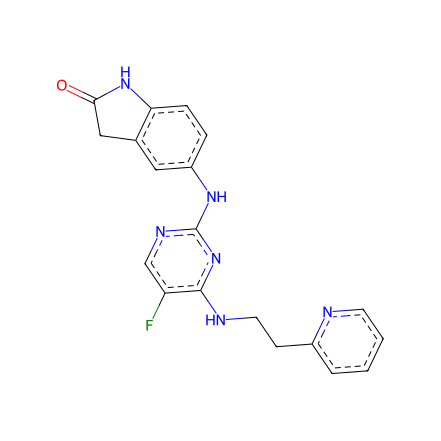 O=C1Cc2cc(Nc3ncc(F)c(NCCc4ccccn4)n3)ccc2N1